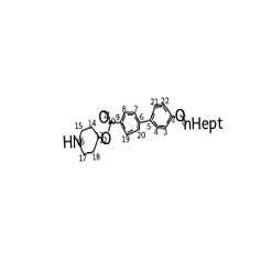 CCCCCCCOc1ccc(-c2ccc(C(=O)OC3CCNCC3)cc2)cc1